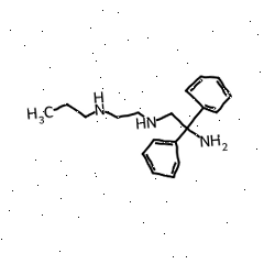 CCCNCCNCC(N)(c1ccccc1)c1ccccc1